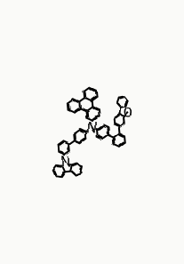 c1cc(-c2ccc(N(c3ccc(-c4ccccc4-c4ccc5c(c4)oc4ccccc45)cc3)c3ccc4c5ccccc5c5ccccc5c4c3)cc2)cc(-n2c3ccccc3c3ccccc32)c1